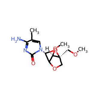 COC[C@@]12COC([C@H](n3cc(C)c(N)nc3=O)O1)[C@H]2OC